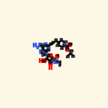 CCNC(=O)[C@H]1O[C@@H](n2cnc3c(N)nc(C#CCC4CCN(C(=O)OCC(C)C)CC4)nc32)C(O)C1O